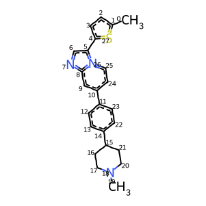 Cc1ccc(-c2cnc3cc(-c4ccc(C5CCN(C)CC5)cc4)ccn23)s1